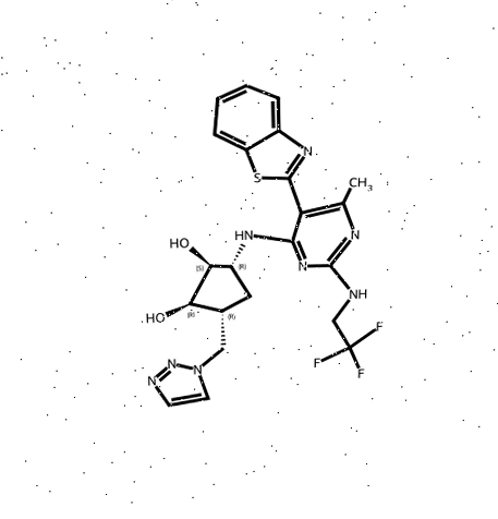 Cc1nc(NCC(F)(F)F)nc(N[C@@H]2C[C@H](Cn3ccnn3)[C@@H](O)[C@H]2O)c1-c1nc2ccccc2s1